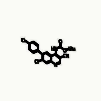 CC(C)(C)OC(=O)Nc1c(C#N)cnc2cc(Cl)c(-c3ccc(Cl)cc3)cc12